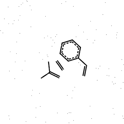 C=C.C=C(C)C.C=Cc1ccccc1